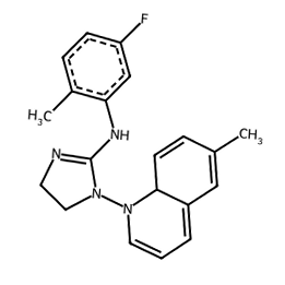 CC1=CC2=CC=CN(N3CCN=C3Nc3cc(F)ccc3C)C2C=C1